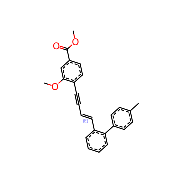 COC(=O)c1ccc(C#C/C=C/c2ccccc2-c2ccc(C)cc2)c(OC)c1